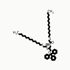 CCCCCCCCCCCCCCSCC(=O)NCC(COC(c1ccccc1)(c1ccccc1)c1ccccc1)SC(=O)CSCCCCCCCCCCCCCC